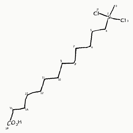 C[Si](Cl)(Cl)CCCCCCCCCCCCC(=O)O